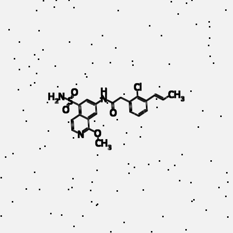 C/C=C/c1cccc(CC(=O)Nc2cc(S(N)(=O)=O)c3ccnc(OC)c3c2)c1Cl